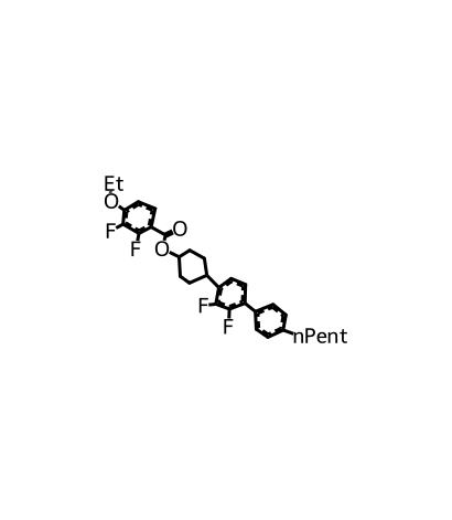 CCCCCc1ccc(-c2ccc(C3CCC(OC(=O)c4ccc(OCC)c(F)c4F)CC3)c(F)c2F)cc1